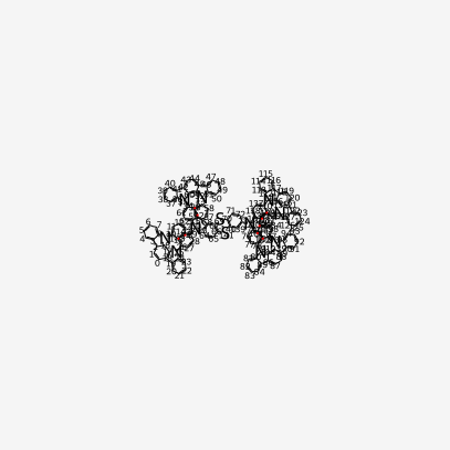 C1=CC2c3ccccc3N(c3ccccc3)C2c2c1c1ccccc1n2-c1ccc(N(c2ccc(-n3c4ccccc4c4ccc5c6ccccc6n(-c6ccccc6)c5c43)cc2)c2ccc3c(c2)Sc2ccc(N(c4ccc(-n5c6ccccc6c6ccc7c8ccccc8n(-c8ccccc8)c7c65)cc4)c4ccc(-n5c6ccccc6c6ccc7c8ccccc8n(-c8ccccc8)c7c65)cc4)cc2S3)cc1